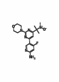 C[S+]([O-])C(C)(C)c1cc(-c2cnc(N)cc2F)nc(N2CCOCC2)n1